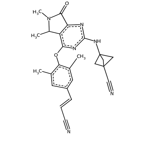 Cc1cc(/C=C/C#N)cc(C)c1Oc1nc(NC23CC(C#N)(C2)C3)nc2c1C(C)N(C)C2=O